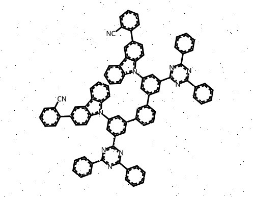 N#Cc1ccccc1-c1ccc2c(c1)c1ccccc1n2-c1cc(-c2cccc(-c3cc(-c4nc(-c5ccccc5)nc(-c5ccccc5)n4)cc(-n4c5ccccc5c5cc(-c6ccccc6C#N)ccc54)c3)c2)cc(-c2nc(-c3ccccc3)nc(-c3ccccc3)n2)c1